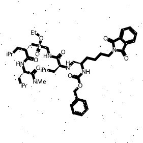 CCOP(=O)(CNC(=O)[C@H](CC(C)C)NC[C@@H](CCCCN1C(=O)c2ccccc2C1=O)NC(=O)OCc1ccccc1)C[C@@H](CC(C)C)C(=O)N[C@@H](CC(C)C)C(=O)NC